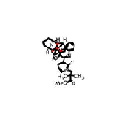 COC(=O)C(C)(C)Cn1cccc(-c2nc3ccccc3n([C@H]3C[C@H]4CCC[C@@H](C3)N4[C@]34C[C@H]5CCC3[C@H](C5)C4)c2=O)c1=O